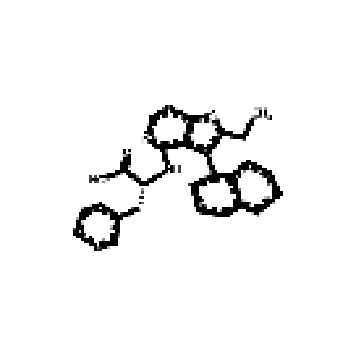 CCc1sc2ncnc(N[C@H](Cc3cccnc3)C(=O)O)c2c1-c1cccc2ccccc12